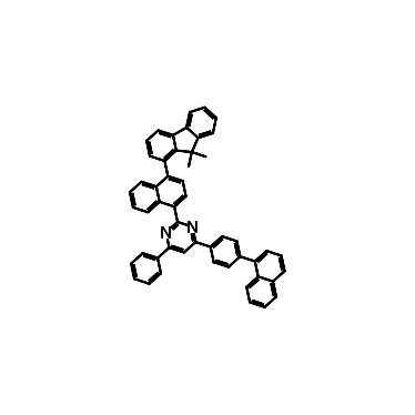 CC1(C)c2ccccc2-c2cccc(-c3ccc(-c4nc(-c5ccccc5)cc(-c5ccc(-c6cccc7ccccc67)cc5)n4)c4ccccc34)c21